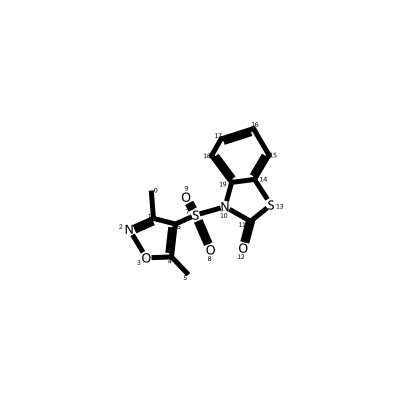 Cc1noc(C)c1S(=O)(=O)n1c(=O)sc2ccccc21